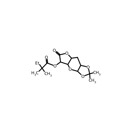 CCC(C)(C)C(=O)OC1C(=O)OC2CC3OC(C)(C)OC3OC21